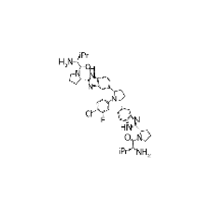 CC(C)[C@H](N)C(=O)N1CCC[C@H]1c1nc2cc([C@H]3CC[C@H](c4ccc5[nH]c([C@@H]6CCCN6C(=O)[C@@H](N)C(C)C)nc5c4)N3c3ccc(Cl)c(F)c3)ccc2[nH]1